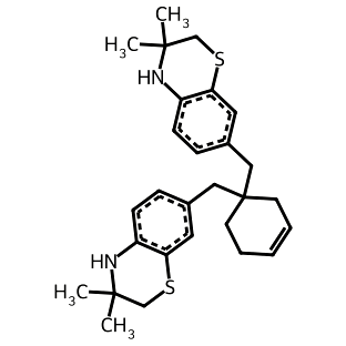 CC1(C)CSc2cc(CC3(Cc4ccc5c(c4)SCC(C)(C)N5)CC=CCC3)ccc2N1